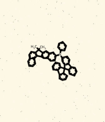 CC1(C)c2cc3cc(N(c4ccccc4)c4ccc5c(c4)C4(c6ccccc6-c6ccccc64)c4ccccc4-5)ccc3cc2-c2c1ccc1ccccc21